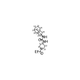 CCC(=O)N1CCC(NC(=O)NC23CC4CCCC(C2)C(C4)C3)CC1